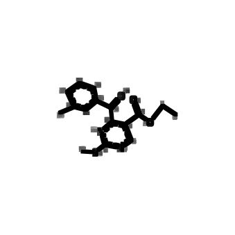 CCOC(=O)c1cnc(SC)nc1C(=O)c1cccc(C)c1